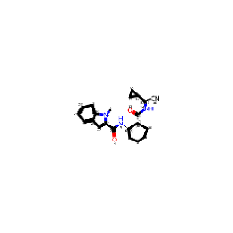 Cn1c(C(=O)N[C@H]2CCCC[C@H]2C(=O)N[C@H](C#N)C2CC2)cc2ccccc21